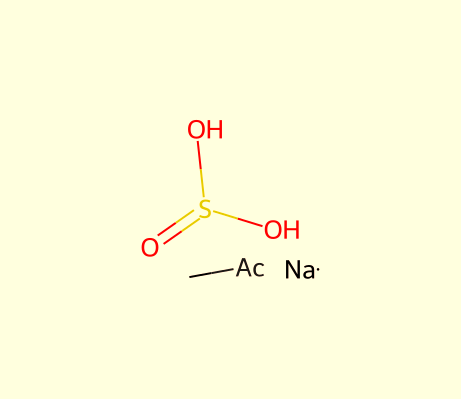 CC(C)=O.O=S(O)O.[Na]